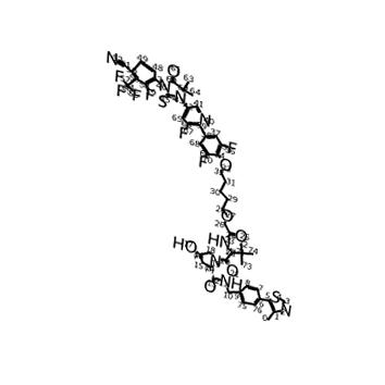 Cc1ncsc1-c1ccc(CNC(=O)[C@@H]2C[C@@H](O)CN2C(=O)[C@@H](NC(=O)COCCCCCOc2c(F)cc(-c3ncc(N4C(=S)N(c5ccc(C#N)c(C(F)(F)F)c5F)C(=O)C4(C)C)cc3F)cc2F)C(C)(C)C)cc1